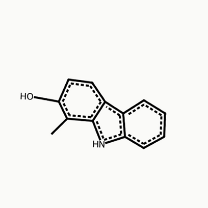 Cc1c(O)ccc2c1[nH]c1ccccc12